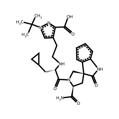 CC(C)(C)n1cc(CCN[C@@H](CC2CC2)C(=O)N2C[C@]3(C[C@H]2C(N)=O)C(=O)Nc2ccccc23)c(C(=O)O)n1